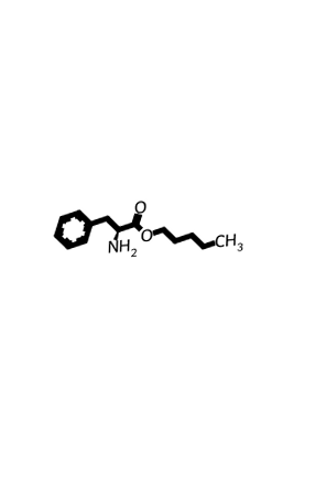 CCCCCOC(=O)[C@@H](N)Cc1ccccc1